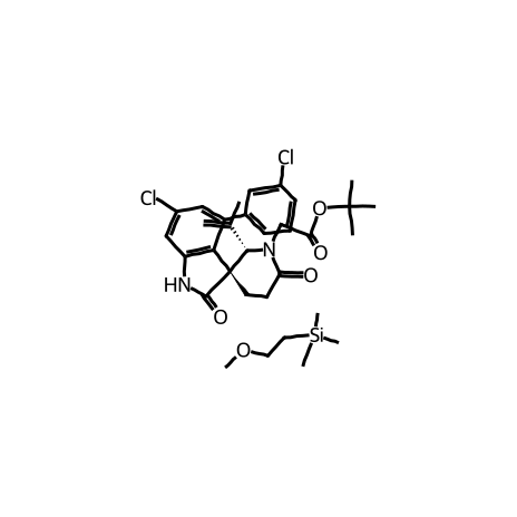 C=C(C)[C@@H]1N(CC(=O)OC(C)(C)C)C(=O)CC[C@]12C(=O)Nc1cc(Cl)cc(-c3cccc(Cl)c3)c12.COCC[Si](C)(C)C